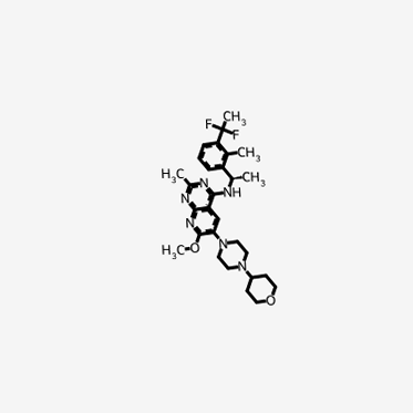 COc1nc2nc(C)nc(N[C@H](C)c3cccc(C(C)(F)F)c3C)c2cc1N1CCN(C2CCOCC2)CC1